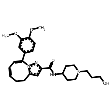 COc1ccc(/C2=C/C=C\CCc3cc(C(=O)NC4CCN(CCCO)CC4)nn32)cc1OC